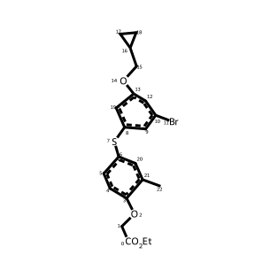 CCOC(=O)COc1ccc(Sc2cc(Br)cc(OCC3CC3)c2)cc1C